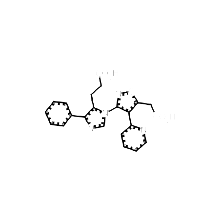 O=C(O)CCc1c(-c2ccccc2)n[c]n1-c1noc(CC(=O)O)c1-c1ccccn1